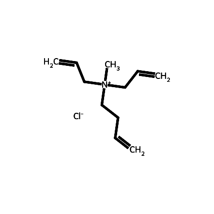 C=CCC[N+](C)(CC=C)CC=C.[Cl-]